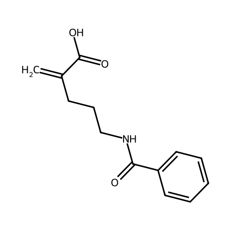 C=C(CCCNC(=O)c1ccccc1)C(=O)O